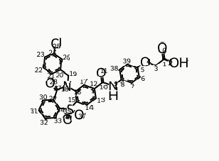 O=C(O)COc1ccc(NC(=O)c2ccc3c(c2)N(Cc2cccc(Cl)c2)C(=O)c2ccccc2S3(=O)=O)cc1